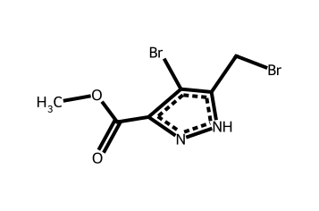 COC(=O)c1n[nH]c(CBr)c1Br